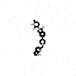 C=C1CCC(N2Cc3cc(C4CCN(Cc5ccc6cc[nH]c6n5)CC4)ccc3C2=O)C(=O)N1